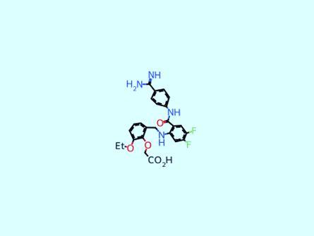 CCOc1cccc(CNc2cc(F)c(F)cc2C(=O)Nc2ccc(C(=N)N)cc2)c1OCC(=O)O